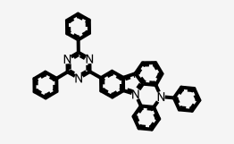 c1ccc(-c2nc(-c3ccccc3)nc(-c3ccc4c(c3)c3cccc5c3n4-c3ccccc3N5c3ccccc3)n2)cc1